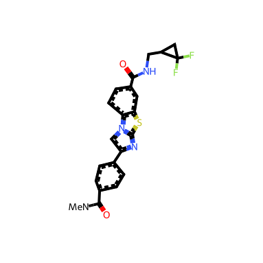 CNC(=O)c1ccc(-c2cn3c(n2)sc2cc(C(=O)NCC4CC4(F)F)ccc23)cc1